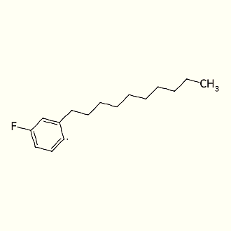 CCCCCCCCCCc1[c]ccc(F)c1